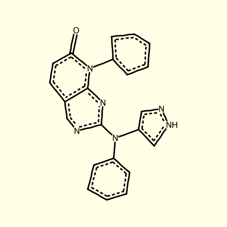 O=c1ccc2cnc(N(c3ccccc3)c3cn[nH]c3)nc2n1-c1ccccc1